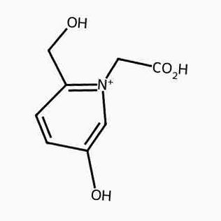 O=C(O)C[n+]1cc(O)ccc1CO